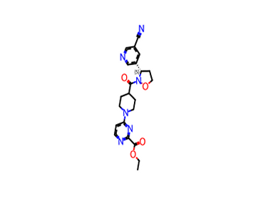 CCOC(=O)c1nccc(N2CCC(C(=O)N3OCC[C@H]3c3cncc(C#N)c3)CC2)n1